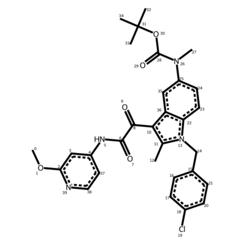 COc1cc(NC(=O)C(=O)c2c(C)n(Cc3ccc(Cl)cc3)c3ccc(N(C)C(=O)OC(C)(C)C)cc23)ccn1